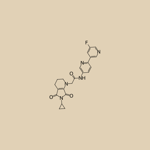 O=C(CN1CCCC2=C1C(=O)N(C1CC1)C2=O)Nc1ccc(-c2cncc(F)c2)nc1